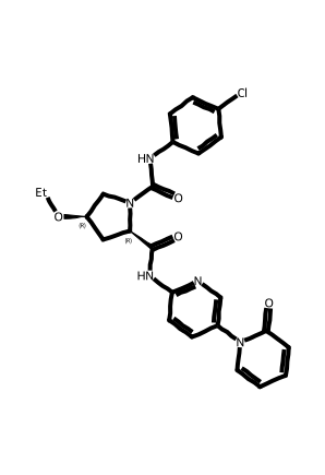 CCO[C@@H]1C[C@H](C(=O)Nc2ccc(-n3ccccc3=O)cn2)N(C(=O)Nc2ccc(Cl)cc2)C1